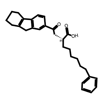 O=C(C[C@@H](CCCCCCc1ccccc1)C(=O)O)c1ccc2c(c1)CC1=C2CCCC1